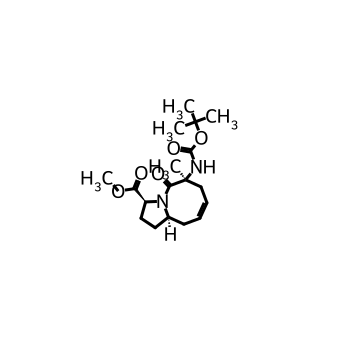 COC(=O)[C@@H]1CC[C@@H]2C/C=C\C[C@](C)(NC(=O)OC(C)(C)C)C(=O)N21